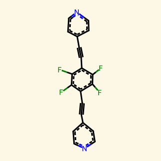 Fc1c(F)c(C#Cc2ccncc2)c(F)c(F)c1C#Cc1ccncc1